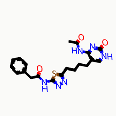 CC(=O)Nc1nc(=O)[nH]cc1CCCCc1nnc(NC(=O)Cc2ccccc2)s1